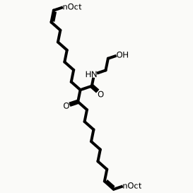 CCCCCCCC/C=C\CCCCCCCC(=O)C(CCCCCC/C=C\CCCCCCCC)C(=O)NCCO